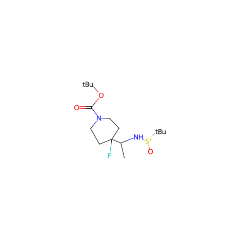 CC(N[S@@+]([O-])C(C)(C)C)C1(F)CCN(C(=O)OC(C)(C)C)CC1